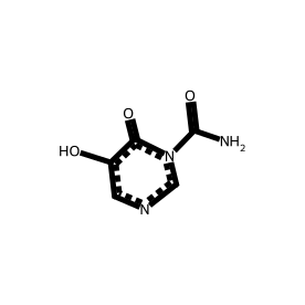 NC(=O)n1cncc(O)c1=O